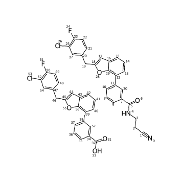 N#CCCNC(=O)c1cccc(-c2cccc3cc(Cc4ccc(F)c(Cl)c4)oc23)c1.O=C(O)c1cccc(-c2cccc3cc(Cc4ccc(F)c(Cl)c4)oc23)c1